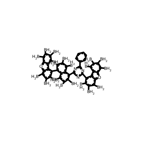 Bc1c(B)c(B)c2c(oc3c(B)c(B)c(B)c(-c4nc(-c5ccccc5)nc(-c5c(B)c(B)c(B)c6c(-c7c(B)c(B)c(B)c8oc9c(B)c(B)c(B)c(B)c9c78)c(B)c(B)c(B)c56)n4)c32)c1B